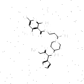 Cc1cc(Cl)nc(C)c1C(=O)NCC[C@@H](C)N1CCC(NC(C(=O)CC#N)c2ccsc2)CC1